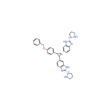 c1ccc(COc2ccc(C3C(c4ccc5nc([C@@H]6CCCN6)[nH]c5c4)[C@H]3c3ccc4nc([C@@H]5CCCN5)[nH]c4c3)cc2)cc1